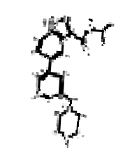 CC(C)NC(=O)c1n[nH]c2ccc(-c3cncc(CN4CCOCC4)c3)cc12